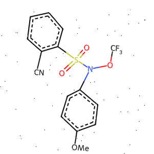 COc1ccc(N(OC(F)(F)F)S(=O)(=O)c2ccccc2C#N)cc1